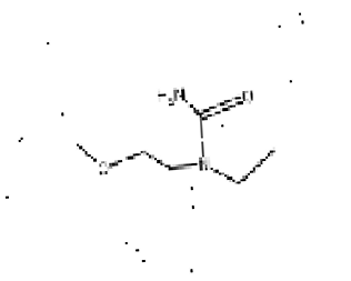 C[CH]N(CCOC)C(N)=O